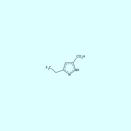 O=C(O)c1cc(CC(F)(F)F)n[nH]1